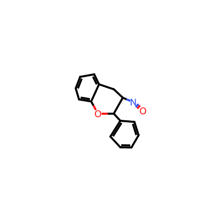 O=NC1Cc2ccccc2OC1c1ccccc1